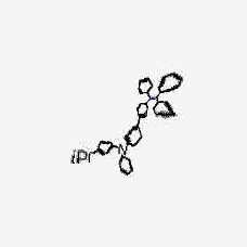 CC(C)c1ccc(N(c2ccccc2)c2ccc(C3=CCC(/C(=C(\C4=CCCC=C4)c4ccccc4)c4ccccc4)C=C3)cc2)cc1